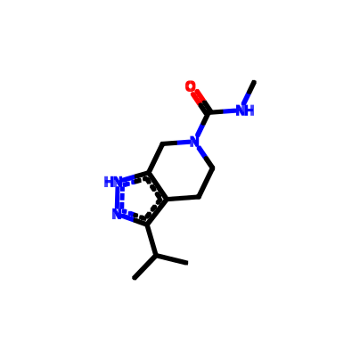 CNC(=O)N1CCc2c(C(C)C)n[nH]c2C1